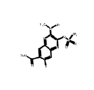 COC(=O)c1cc2nc(N(C)C(C)C)c(OS(=O)(=O)C(F)(F)F)nc2cc1F